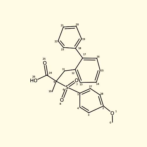 COc1ccc(S(=O)(=O)C(C)(Cc2ccccc2-c2ccccc2)C(=O)O)cc1